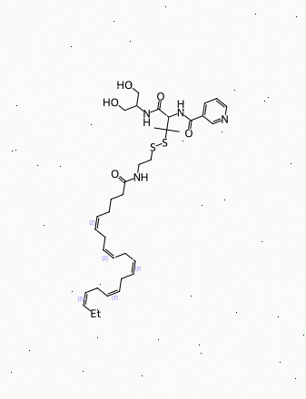 CC/C=C\C/C=C\C/C=C\C/C=C\C/C=C\CCCC(=O)NCCSSC(C)(C)C(NC(=O)c1cccnc1)C(=O)NC(CO)CO